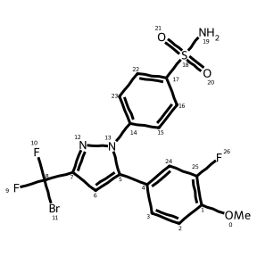 COc1ccc(-c2cc(C(F)(F)Br)nn2-c2ccc(S(N)(=O)=O)cc2)cc1F